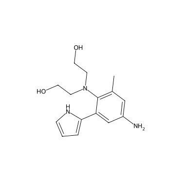 Cc1cc(N)cc(-c2ccc[nH]2)c1N(CCO)CCO